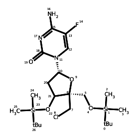 CC(C)(C)[Si](C)(C)OC[C@@]1(CCl)O[C@@H](n2cc(F)c(N)nc2=O)CC1O[Si](C)(C)C(C)(C)C